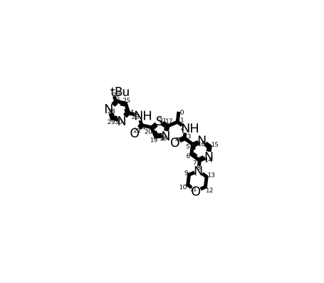 CC(NC(=O)c1cc(N2CCOCC2)ncn1)c1ncc(C(=O)Nc2cc(C(C)(C)C)ncn2)s1